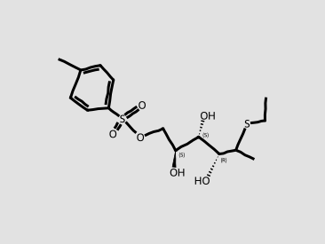 CCSC(C)[C@H](O)[C@@H](O)[C@@H](O)COS(=O)(=O)c1ccc(C)cc1